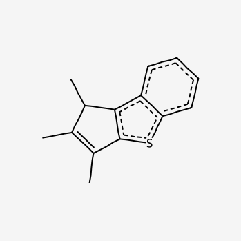 CC1=C(C)C(C)c2c1sc1ccccc21